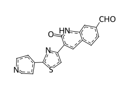 O=Cc1ccc2cc(-c3csc(-c4ccncc4)n3)c(=O)[nH]c2c1